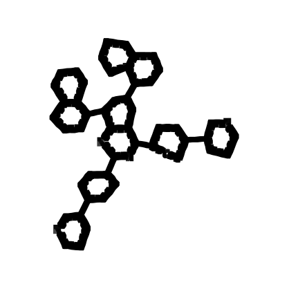 c1cncc(-c2ccc(-c3nc(-c4ccc(-c5cccnc5)cc4)c4cc(-c5cccc6ccccc56)cc(-c5cccc6ccccc56)c4n3)cc2)c1